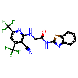 N#Cc1c(C(F)(F)F)cc(C(F)(F)F)nc1NCC(=O)Nc1nc2ccccc2s1